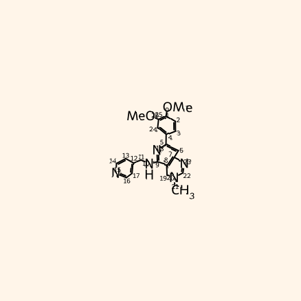 COc1ccc(-c2cc3c(c(NCc4ccncc4)n2)CN(C)C=N3)cc1OC